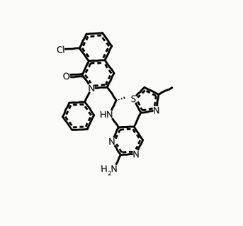 Cc1csc(-c2cnc(N)nc2N[C@@H](C)c2cc3cccc(Cl)c3c(=O)n2-c2ccccc2)n1